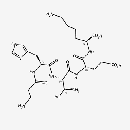 C[C@@H](O)[C@H](NC(=O)[C@H](Cc1c[nH]cn1)NC(=O)CCN)C(=O)N[C@@H](CCC(=O)O)C(=O)N[C@@H](CCCCN)C(=O)O